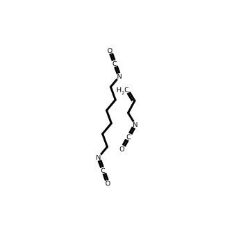 C=CCN=C=O.O=C=NCCCCCCN=C=O